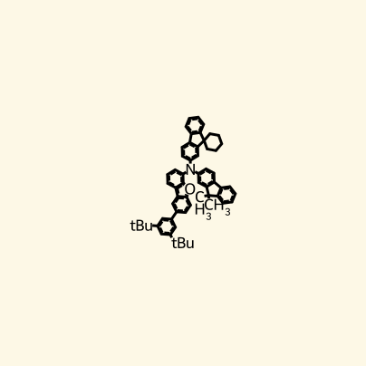 CC(C)(C)c1cc(-c2ccc3oc4c(N(c5ccc6c(c5)C(C)(C)c5ccccc5-6)c5ccc6c(c5)C5(CCCCC5)c5ccccc5-6)cccc4c3c2)cc(C(C)(C)C)c1